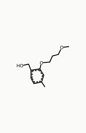 COCCCOc1cc(C)ccc1CO